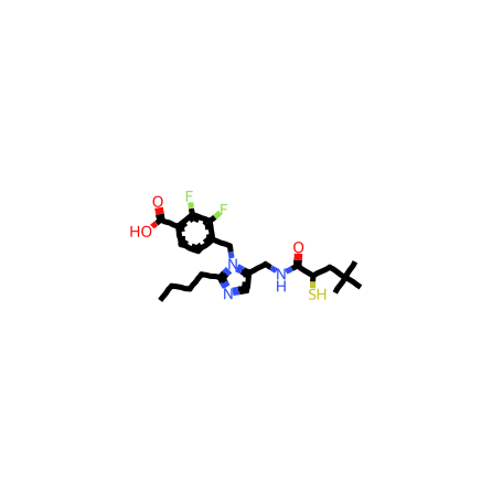 CCCCc1ncc(CNC(=O)C(S)CC(C)(C)C)n1Cc1ccc(C(=O)O)c(F)c1F